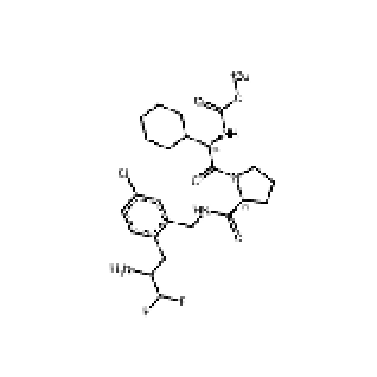 CC(C)(C)OC(=O)N[C@@H](C(=O)N1CCC[C@H]1C(=O)NCc1cc(Cl)ccc1CC(N)C(F)F)C1CCCCC1